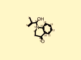 C=C(C)C(O)N1CCC(=O)c2ccccc21